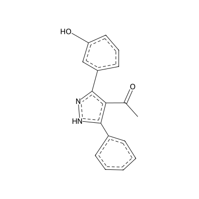 CC(=O)c1c(-c2cccc(O)c2)n[nH]c1-c1ccccc1